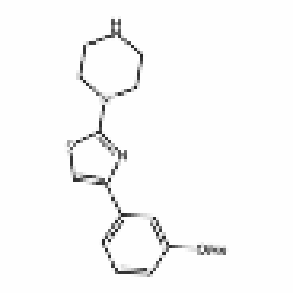 COc1cccc(-c2csc(N3CCNCC3)n2)c1